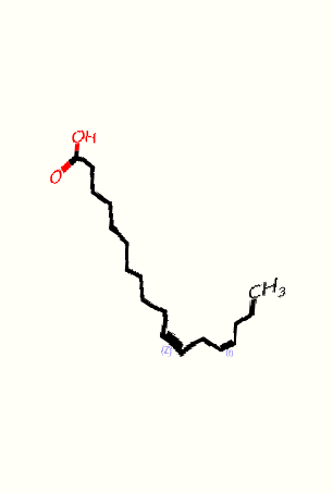 CCC/C=C\C/C=C\CCCCCCCCCC(=O)O